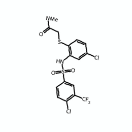 CNC(=O)CSc1ccc(Cl)cc1NS(=O)(=O)c1ccc(Cl)c(C(F)(F)F)c1